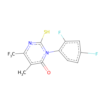 Cc1c(C(F)(F)F)nc(S)n(-c2ccc(F)cc2F)c1=O